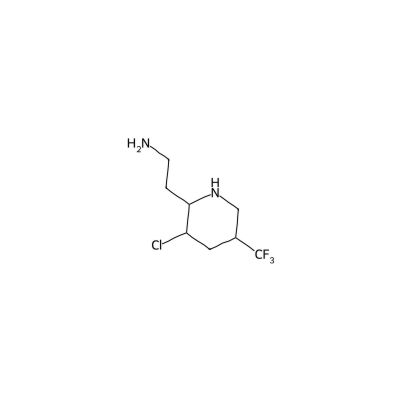 NCCC1NCC(C(F)(F)F)CC1Cl